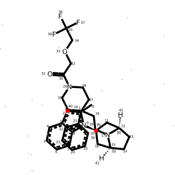 Cc1nc2ccccc2n1[C@H]1C[C@H]2CC[C@@H](C1)N2CCC1(c2ccccc2)CCN(C(=O)COCC(F)(F)F)CC1